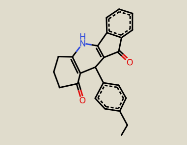 CCc1ccc(C2C3=C(CCCC3=O)NC3=C2C(=O)c2ccccc23)cc1